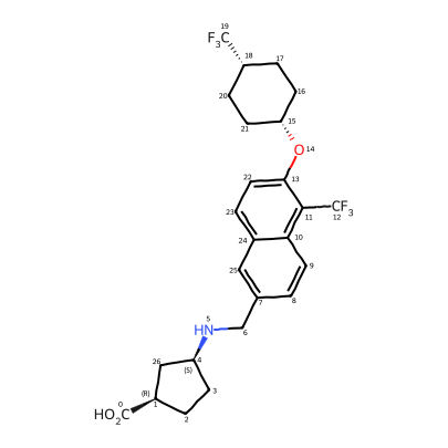 O=C(O)[C@@H]1CC[C@H](NCc2ccc3c(C(F)(F)F)c(O[C@H]4CC[C@@H](C(F)(F)F)CC4)ccc3c2)C1